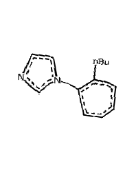 CCCCc1ccccc1-n1[c]ncc1